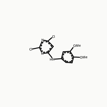 COc1ccc(Nc2cc(Cl)nc(Cl)n2)cc1OC